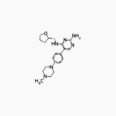 CN1CCN(c2ccc(-c3cnc(N)nc3NCC3CCCO3)cc2)CC1